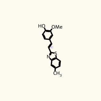 COc1cc(/C=C/c2nc3cc(C)ccc3s2)ccc1O